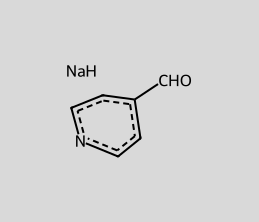 O=Cc1ccncc1.[NaH]